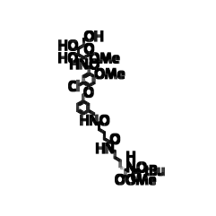 COC(=O)[C@H](CCCCNC(=O)CCCC(=O)NCc1cccc(COc2cc(OC)c(C(=O)N[C@H]3[C@@H](OC)O[C@H](CO)[C@@H](O)[C@@H]3O)cc2Cl)c1)NC(=O)OC(C)(C)C